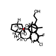 Cc1c(CCO)nc2c3c(nc(Cl)c(F)c13)O[C@@H](C)[C@@H]1[C@@H]3CC[C@H](CN21)N3C(=O)OC(C)(C)C